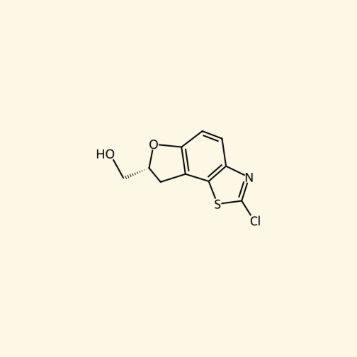 OC[C@H]1Cc2c(ccc3nc(Cl)sc23)O1